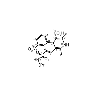 CC1=C(C=CS(=O)(=O)NC(C)C)C(c2cccc([N+](=O)[O-])c2)C(C(=O)O)=C(C)N1